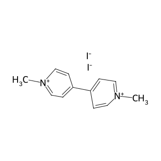 C[n+]1ccc(-c2cc[n+](C)cc2)cc1.[I-].[I-]